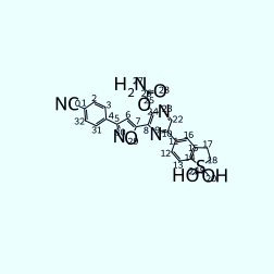 N#Cc1ccc(-c2cc(-c3nc(-c4ccc5c(c4)CCS5(O)O)cnc3OC(N)=O)on2)cc1